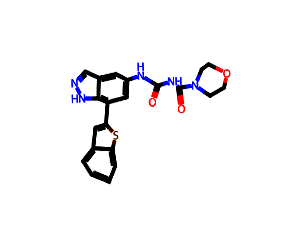 O=C(NC(=O)N1CCOCC1)Nc1cc(-c2cc3ccccc3s2)c2[nH]ncc2c1